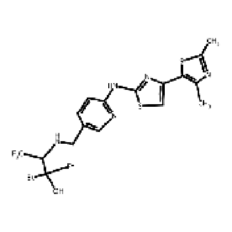 CCC(O)(CC)C(NCc1ccc(Nc2nc(-c3sc(C)nc3C)cs2)nc1)C(F)(F)F